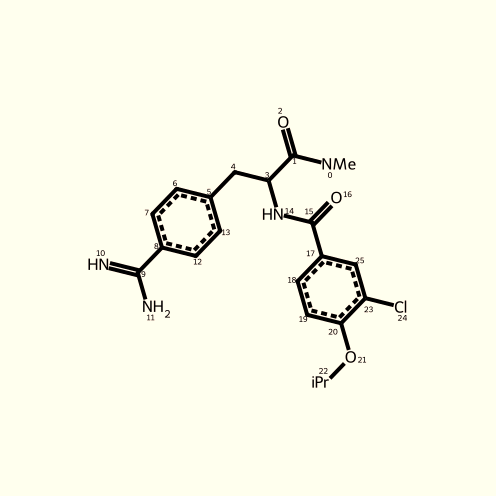 CNC(=O)C(Cc1ccc(C(=N)N)cc1)NC(=O)c1ccc(OC(C)C)c(Cl)c1